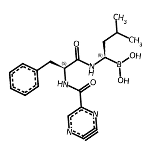 CC(C)C[C@H](NC(=O)[C@H](Cc1ccccc1)NC(=O)c1cnc#cn1)B(O)O